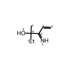 C=CC(=N)C(C)(O)CC